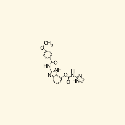 COc1ccc(C(=O)Nc2nc3cccc(OC(=O)Nc4ncc[nH]4)c3[nH]2)cc1